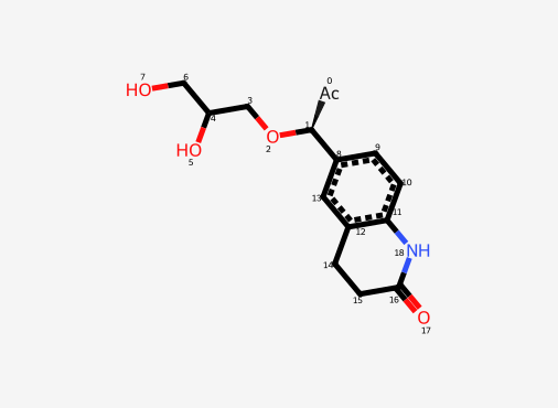 CC(=O)[C@H](OCC(O)CO)c1ccc2c(c1)CCC(=O)N2